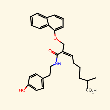 CC(CCCC=C(COc1cccc2ccccc12)C(=O)NCCc1ccc(O)cc1)C(=O)O